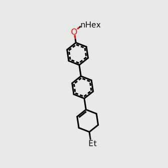 CCCCCCOc1ccc(-c2ccc(C3=CCC(CC)CC3)cc2)cc1